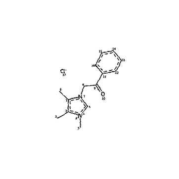 Cc1c(C)[n+](C)cn1CC(=O)c1ccccc1.[Cl-]